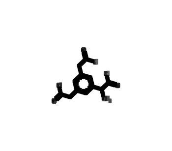 CC(C(=O)Cl)c1cc(CC(=O)Cl)cc(CC(=O)Cl)c1